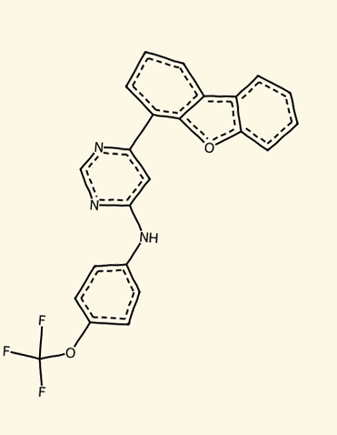 FC(F)(F)Oc1ccc(Nc2cc(-c3cccc4c3oc3ccccc34)ncn2)cc1